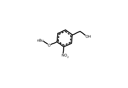 CCCCOc1ccc(CO)cc1[N+](=O)[O-]